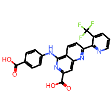 O=C(O)c1ccc(Nc2nc(C(=O)O)cc3nc(-c4ncccc4C(F)(F)F)ccc23)cc1